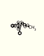 CCOC(=O)Cc1csc(NC(=O)C(Cc2ccccc2)NC(=O)OCc2ccccc2)n1